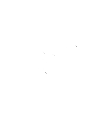 c1ccc(-n2c3ccccc3c3ccc(C4=[N+]=C(n5c6ccc7ccccc7c6c6cc7c8ccccc8n8c9ccccc9c(c65)c78)c5ccccc54)cc32)cc1